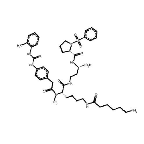 Cc1ccccc1NC(=O)Nc1ccc(CC(=O)N(C)[C@@H](CCCCNC(=O)CCCCCN)C(=O)NCC[C@H](NC(=O)[C@@H]2CCCN2S(=O)(=O)c2ccccc2)C(=O)O)cc1